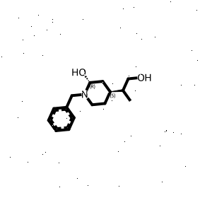 CC(CO)[C@H]1CCN(Cc2ccccc2)[C@H](O)C1